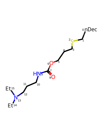 CCCCCCCCCCCSCCCOC(=O)NCCCN(CC)CC